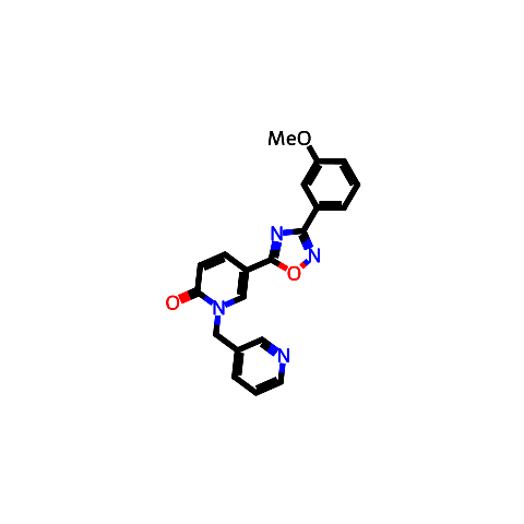 COc1cccc(-c2noc(-c3ccc(=O)n(Cc4cccnc4)c3)n2)c1